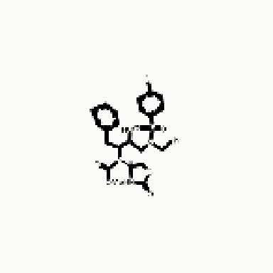 COC(=O)N(C(Cc1ccccc1)C(O)CN(CC(C)C)S(=O)(=O)c1ccc(F)cc1)[C@H]1COC(=O)N1